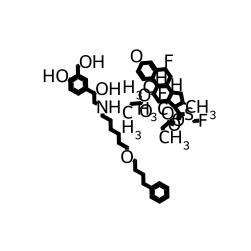 CCC(=O)O[C@H]1C[C@@]2(C)[C@@H](C[C@@H](C)[C@]2(OC(=O)CC)C(=O)SCF)[C@@H]2C[C@H](F)C3=CC(=O)C=C[C@]3(C)[C@@]12F.OCc1cc(C(O)CNCCCCCCOCCCCc2ccccc2)ccc1O